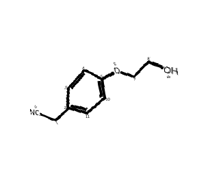 N#CCc1ccc(OCCO)cc1